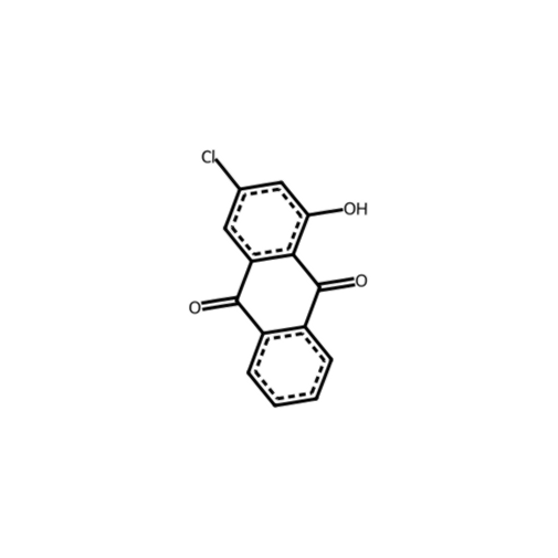 O=C1c2ccccc2C(=O)c2c(O)cc(Cl)cc21